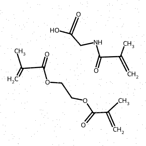 C=C(C)C(=O)NCC(=O)O.C=C(C)C(=O)OCCOC(=O)C(=C)C